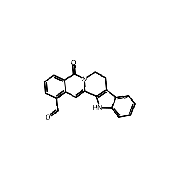 O=Cc1cccc2c(=O)n3c(cc12)-c1[nH]c2ccccc2c1CC3